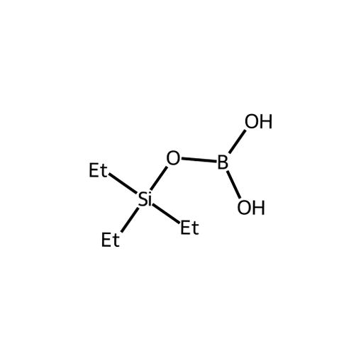 CC[Si](CC)(CC)OB(O)O